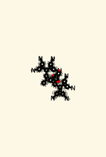 N#Cc1ccc2c(c1)c1cc(C#N)ccc1n2-c1cc(-c2ccc3c(c2)C2(c4cc5c6cc(-c7cc(-n8c9ccc(C#N)cc9c9cc(C#N)ccc98)cc(-n8c9ccc(C#N)cc9c9cc(C#N)ccc98)c7)ccc6n(-c6ccccc6)c5cc4-3)c3ccccc3-n3c4ccccc4c4cccc2c43)cc(-n2c3ccc(C#N)cc3c3cc(C#N)ccc32)c1